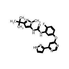 Cn1nc(C(C)(C)C)cc1NC(=O)Nc1cc(Oc2cc(-c3cc[nH]n3)ncn2)ccc1F